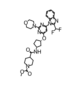 COC(=O)N1CCC(C(=O)N[C@H]2CC[C@H](Oc3cc(-n4c(C(F)F)nc5ccccc54)nc(N4CCOCC4)n3)C2)CC1